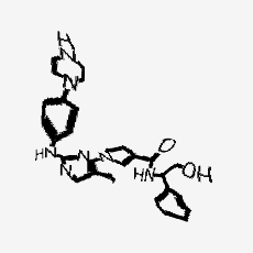 Cc1cnc(Nc2ccc(N3CCNCC3)cc2)nc1-n1ccc(C(=O)NC(CO)c2ccccc2)c1